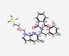 CS(C)(C)CCOCn1ccc2cc(Br)c(C(Cc3cc(F)cc(F)c3)N3C(=O)c4ccccc4C3=O)nc21